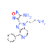 NCCCn1c(-c2nonc2N)nc2c(-c3ccccc3)nccc21